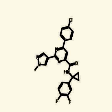 Cn1cc(-c2nc(C(=O)NC3(c4ccc(F)c(F)c4)CC3)cc(-c3ccc(Cl)cc3)n2)cn1